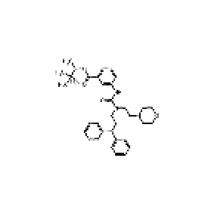 CC(OC(=O)c1cccc(NC(=O)N(CCC(c2ccccc2)c2ccccc2)CCN2CCOCC2)c1)C(C)(C)C